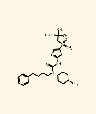 C=S(=O)(CC(C)(C)C(=O)O)c1cnc(NC(=O)N(CCSCc2ccccc2)[C@H]2CC[C@H](C)CC2)s1